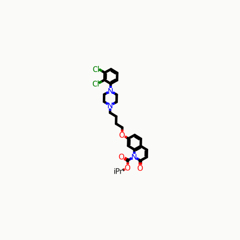 CC(C)OC(=O)n1c(=O)ccc2ccc(OCCCCN3CCN(c4cccc(Cl)c4Cl)CC3)cc21